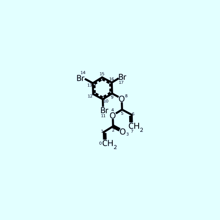 C=CC(=O)OC(C=C)Oc1c(Br)cc(Br)cc1Br